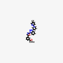 COC(=O)c1cccc(-c2cnc(N[C@@H]3CCCC[C@H]3N[C@H]3CCCN(c4ccc(C(F)(F)F)cn4)C3)o2)c1